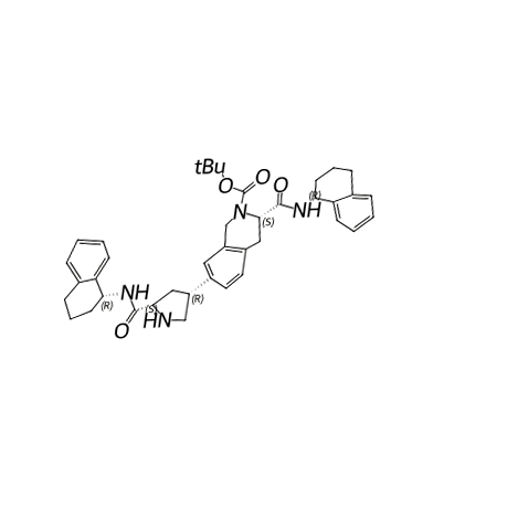 CC(C)(C)OC(=O)N1Cc2cc([C@@H]3CN[C@H](C(=O)N[C@@H]4CCCc5ccccc54)C3)ccc2C[C@H]1C(=O)N[C@@H]1CCCc2ccccc21